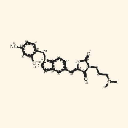 CN(C)CCCN1C(=O)S/C(=C\c2ccc3c(ccn3Cc3ccc(C#N)cc3C(F)(F)F)c2)C1=O